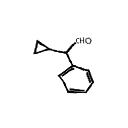 O=CC(c1ccccc1)C1CC1